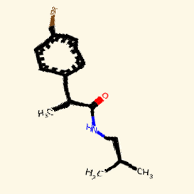 CC(C)CNC(=O)C(C)c1ccc(Br)cc1